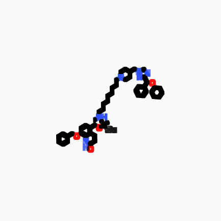 CC(C)(C)[Si](C)(C)O[C@@H](CNCCCCCCCCCN1CCC(Cn2cnc([C@H](OC3CCCCC3)c3ccccc3)n2)CC1)c1ccc(OCc2ccccc2)c2[nH]c(=O)ccc12